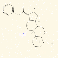 CC(=O)O[C@H]1C[C@@]2(C)C(C[C@@H](N)[C@H]3[C@@]4(C)CC[C@@H](O)[C@@H](C)[C@@H]4CC[C@@]32C)/C1=C(\Cc1ccccc1)C(C)=O